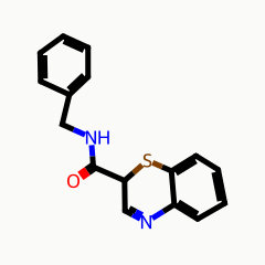 O=C(NCc1ccccc1)C1C=Nc2ccccc2S1